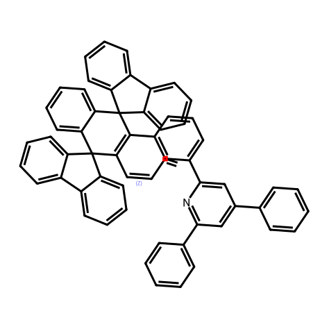 C=C/C=C\C1=C(c2cccc(-c3cc(-c4ccccc4)cc(-c4ccccc4)n3)c2)C2(c3ccccc3-c3ccccc32)c2ccccc2C12c1ccccc1-c1ccccc12